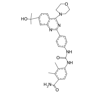 Cc1c(NC(=O)Nc2ccc(-c3nc(N4CCOCC4)c4ccc(C(C)(C)O)cc4n3)cc2)ccc(C(N)=O)c1C